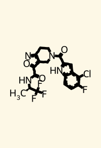 C[C@@H](NC(=O)c1onc2c1CN(C(=O)c1cc3c(Cl)c(F)ccc3[nH]1)CC2)C(F)(F)F